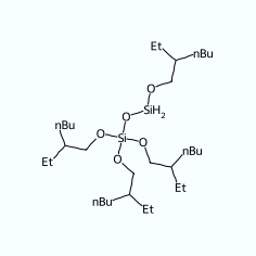 CCCCC(CC)CO[SiH2]O[Si](OCC(CC)CCCC)(OCC(CC)CCCC)OCC(CC)CCCC